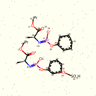 CC(C)OC(=O)[C@H](C)N=[P+]([O-])Oc1ccccc1.CC(C)OC(=O)[C@H](C)N=[P+]([O-])Oc1ccccc1.O=S(=O)(O)O